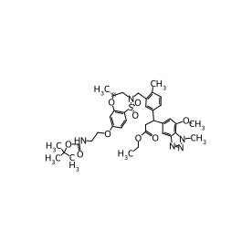 CCOC(=O)CC(c1ccc(C)c(CN2C[C@@H](C)Oc3cc(OCCNC(=O)OC(C)(C)C)ccc3S2(=O)=O)c1)c1cc(OC)c2c(c1)nnn2C